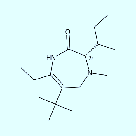 CCC1=C(C(C)(C)C)CN(C)[C@@H](C(C)CC)C(=O)N1